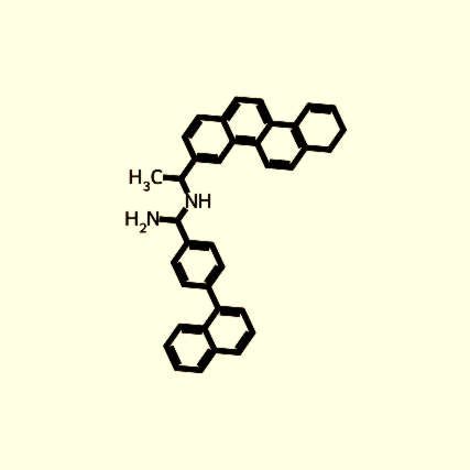 CC(NC(N)c1ccc(-c2cccc3ccccc23)cc1)c1ccc2ccc3c4c(ccc3c2c1)CCC=C4